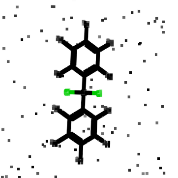 [2H]c1c([2H])c([2H])c([Si](Cl)(Cl)c2c([2H])c([2H])c([2H])c([2H])c2[2H])c([2H])c1[2H]